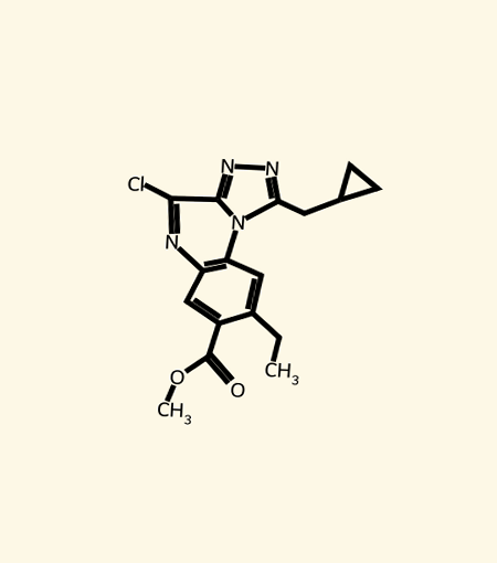 CCc1cc2c(cc1C(=O)OC)nc(Cl)c1nnc(CC3CC3)n12